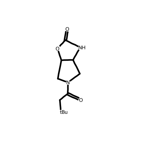 CC(C)(C)CC(=O)N1CC2NC(=O)OC2C1